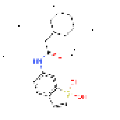 O=C(CC1CCCCC1)Nc1ccc2c(c1)S(O)(O)C=C2